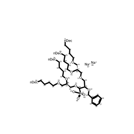 CCCCCCCCCCCCCCOC[C@H](COCC(OCc1ccccc1)C(OC[C@@H](COCCCCCCCCCCCCCC)OCCCCCCCCCCCCCC)P(=O)([O-])[O-])OCCCCCCCCCCCCCC.[Na+].[Na+]